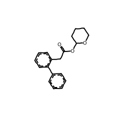 O=C(Cc1ccccc1-c1ccccc1)OC1CCCCO1